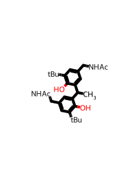 CC(=O)NCc1cc(C(C)c2cc(CNC(C)=O)cc(C(C)(C)C)c2O)c(O)c(C(C)(C)C)c1